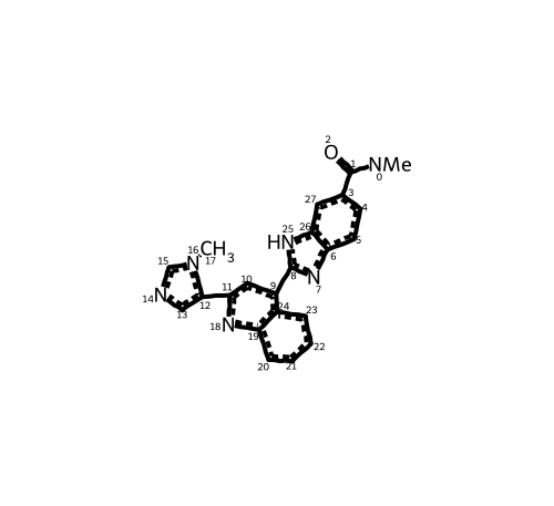 CNC(=O)c1ccc2nc(-c3cc(-c4cncn4C)nc4ccccc34)[nH]c2c1